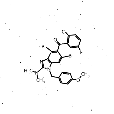 COc1ccc(Cn2c(N(C)C)nc3c(Br)c(C(=O)c4cc(F)ccc4Cl)c(Br)cc32)cc1